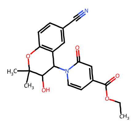 CCOC(=O)c1ccn(C2c3cc(C#N)ccc3OC(C)(C)C2O)c(=O)c1